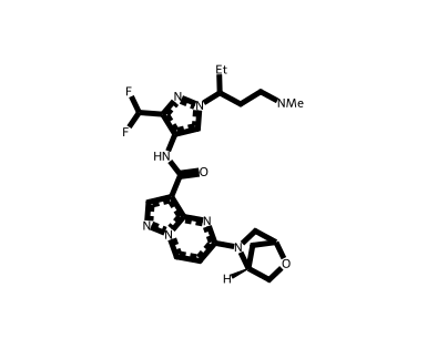 CCC(CCNC)n1cc(NC(=O)c2cnn3ccc(N4CC5C[C@@H]4CO5)nc23)c(C(F)F)n1